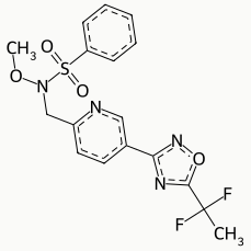 CON(Cc1ccc(-c2noc(C(C)(F)F)n2)cn1)S(=O)(=O)c1ccccc1